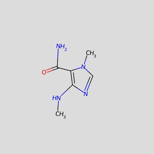 CNc1ncn(C)c1C(N)=O